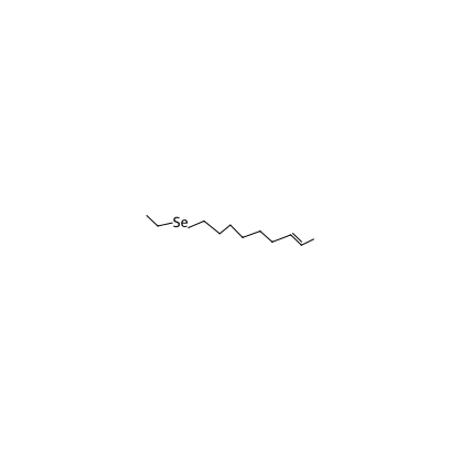 C/C=C/CCCCCCC[Se]CC